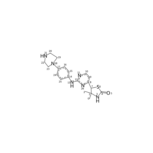 CC1(C)NC(=O)SC1c1ccnc(Nc2ccc(N3CCNCC3)cc2)n1